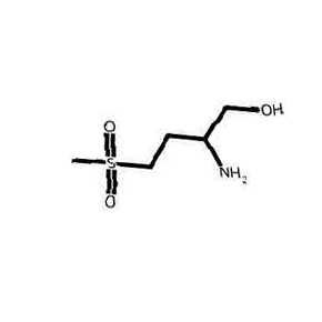 CS(=O)(=O)CCC(N)CO